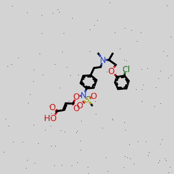 CC(COc1ccccc1Cl)N(C)CCc1ccc(N(OC(=O)/C=C/C(=O)O)S(C)(=O)=O)cc1